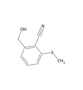 CSc1cccc(CO)c1C#N